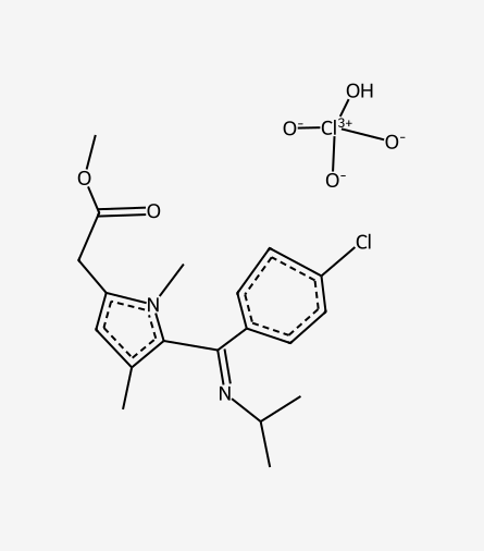 COC(=O)Cc1cc(C)c(C(=NC(C)C)c2ccc(Cl)cc2)n1C.[O-][Cl+3]([O-])([O-])O